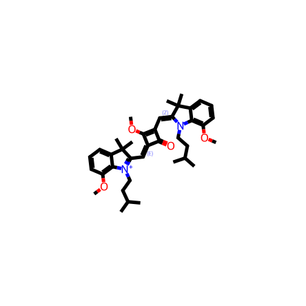 COC1=C(/C=C2\N(CCC(C)C)c3c(OC)cccc3C2(C)C)C(=O)/C1=C/C1=[N+](CCC(C)C)c2c(OC)cccc2C1(C)C